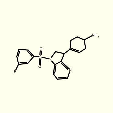 NC1CC=C(C2CN(S(=O)(=O)c3cccc(F)c3)c3cccnc32)CC1